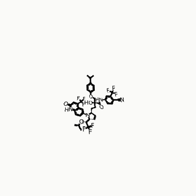 CC(C)O[C@H]([C@H]1CC[C@H](CCC(O)(COc2ccc(C(C)C)cc2)C(=O)Nc2ccc(C#N)c(C(F)(F)F)c2)N1c1ccc2[nH]c(=O)cc(C(F)(F)F)c2c1)C(F)(F)F